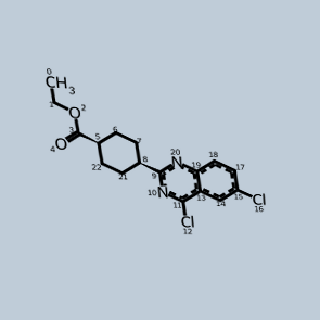 CCOC(=O)[C@H]1CC[C@@H](c2nc(Cl)c3cc(Cl)ccc3n2)CC1